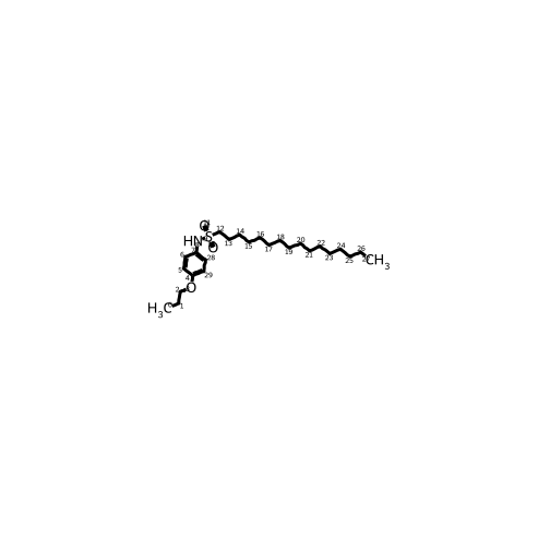 CC[CH]Oc1ccc(NS(=O)(=O)CCCCCCCCCCCCCCCC)cc1